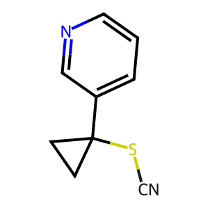 N#CSC1(c2cccnc2)CC1